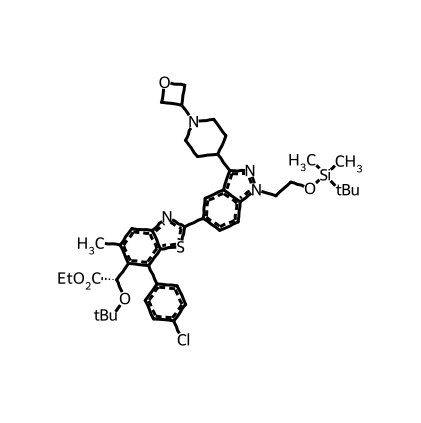 CCOC(=O)[C@@H](OC(C)(C)C)c1c(C)cc2nc(-c3ccc4c(c3)c(C3CCN(C5COC5)CC3)nn4CCO[Si](C)(C)C(C)(C)C)sc2c1-c1ccc(Cl)cc1